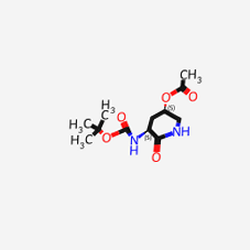 CC(=O)O[C@@H]1CNC(=O)[C@@H](NC(=O)OC(C)(C)C)C1